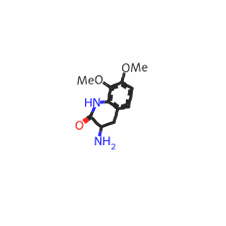 COc1ccc2c(c1OC)NC(=O)C(N)C2